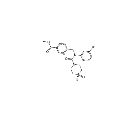 COC(=O)c1ccc(CN(C(=O)N2CCS(=O)(=O)CC2)c2cccc(Br)c2)nc1